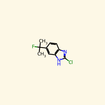 CC(C)(F)c1ccc2nc(Cl)[nH]c2c1